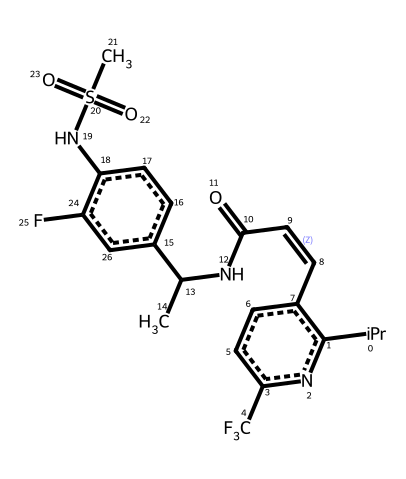 CC(C)c1nc(C(F)(F)F)ccc1/C=C\C(=O)NC(C)c1ccc(NS(C)(=O)=O)c(F)c1